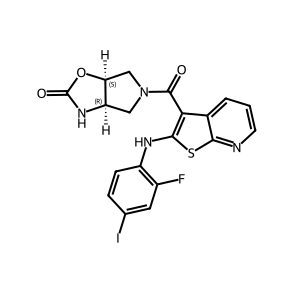 O=C1N[C@@H]2CN(C(=O)c3c(Nc4ccc(I)cc4F)sc4ncccc34)C[C@@H]2O1